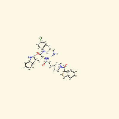 CN(C)C[C@H]1Cc2cc(Cl)ccc2N(C(=O)[C@@H](Cc2c[nH]c3ccccc23)NC(=O)CCC2CCN(C(=O)c3scc4ccccc34)CC2)C1